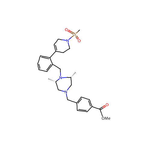 COC(=O)c1ccc(CN2C[C@@H](C)N(Cc3ccccc3C3=CCN(S(C)(=O)=O)CC3)[C@@H](C)C2)cc1